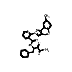 Cc1ccc2c(c1)-c1nn(-c3ncccc3C(=O)NC(Cc3ccccc3)C(=O)C(N)=O)cc1CO2